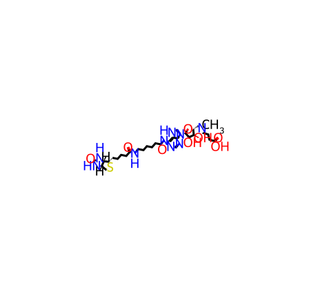 CN(CCCC(=O)O)C[C@H]1O[C@@H](n2cnc3c(NC(=O)CCCCCNC(=O)CCCC[C@@H]4SC[C@@H]5NC(=O)N[C@@H]54)ncnc32)[C@H](O)[C@@H]1O